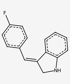 Fc1ccc(/C=C2/CNc3ccccc32)cc1